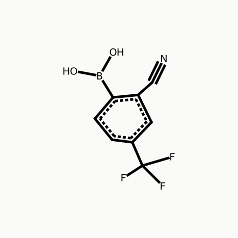 N#Cc1cc(C(F)(F)F)ccc1B(O)O